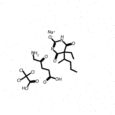 CCCC(C)C1(CC)C(=O)N=C([O-])NC1=O.NCC(=O)CCC(=O)O.O=C(O)C(Cl)(Cl)Cl.[Na+]